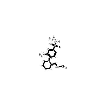 CNS(=O)(=O)c1ccc(N2CCCCC2COC)c(N)c1